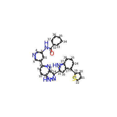 O=C(Nc1cncc(-c2ccc3[nH]nc(-c4cc5c(-c6cccs6)cccc5[nH]4)c3n2)c1)c1ccccc1